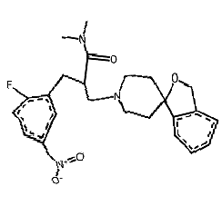 CN(C)C(=O)C(Cc1cc([N+](=O)[O-])ccc1F)CN1CCC2(CC1)OCc1ccccc12